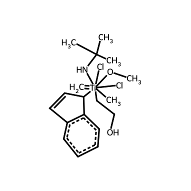 [CH2]=[Ti]([CH3])([Cl])([Cl])([CH2]CO)([NH]C(C)(C)C)([O]C)[CH]1C=Cc2ccccc21